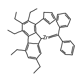 CCc1cc(CC)c2c(c1)[CH]([Zr]=[C](c1ccccc1)c1ccccc1)c1c(C3=CC=CC3)c(CC)c(CC)c(CC)c1-2